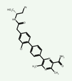 Cc1nc(C)c(-c2ccc(-c3ccc(CC(=O)N[C@@H](CC(C)C)C(=O)O)cc3Cl)cc2)nc1C(N)=O